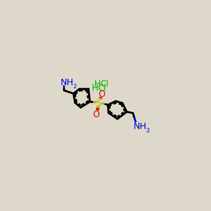 Cl.Cl.NCc1ccc(S(=O)(=O)c2ccc(CN)cc2)cc1